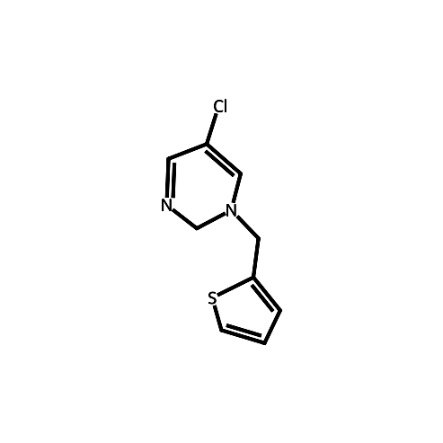 ClC1=CN(Cc2cccs2)CN=C1